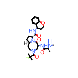 CN[C@@H](C)C(=O)N[C@H]1CN(C(=O)C(C)(C)F)CC[C@H]2CC[C@@H](C(=O)N[C@@H]3CCOc4ccccc43)N2C1=O